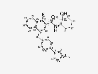 Cn1cc(-c2ccc(Cc3cc(C(=O)NC4CCCCC4(C)O)c(F)c4ccccc34)cn2)cn1